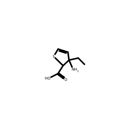 CCC1(N)C=CSC1C(=O)O